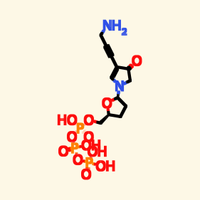 NCC#CC1=CN([C@H]2CC[C@@H](COP(=O)(O)OP(=O)(O)OP(=O)(O)O)O2)CC1=O